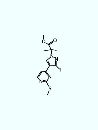 COC(=O)C(C)(C)n1cc(-c2ccnc(SC)n2)c(I)n1